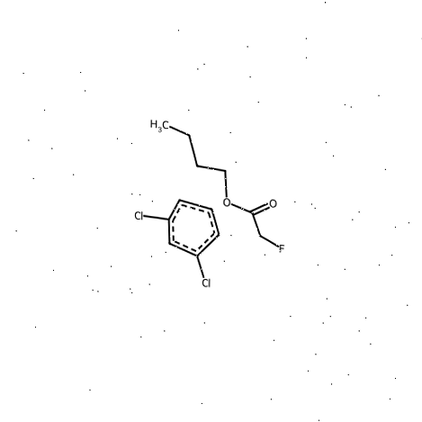 CCCCOC(=O)CF.Clc1cccc(Cl)c1